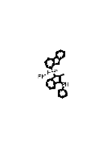 CC1=C(Pc2ccccc2)c2ccccc2[CH]1[Hf+2][c]1cccc2c1Cc1ccccc1-2.[F-].[F-]